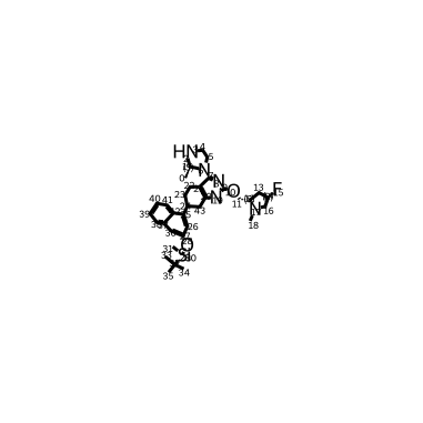 C[C@H]1CNCCN1c1nc(OC[C@@H]2C[C@@H](F)CN2C)nc2c1CCC(c1cc(O[Si](C)(C)C(C)(C)C)cc3ccccc13)C2